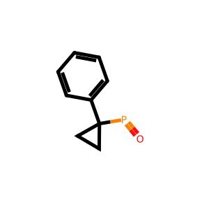 O=PC1(c2ccccc2)CC1